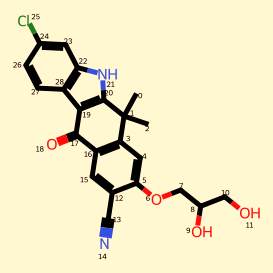 CC1(C)c2cc(OCC(O)CO)c(C#N)cc2C(=O)c2c1[nH]c1cc(Cl)ccc21